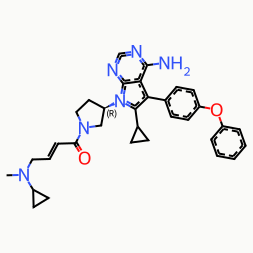 CN(CC=CC(=O)N1CC[C@@H](n2c(C3CC3)c(-c3ccc(Oc4ccccc4)cc3)c3c(N)ncnc32)C1)C1CC1